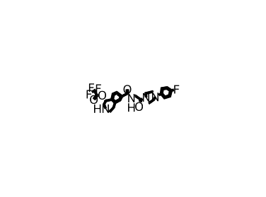 O=C(NCC(=O)N1CCN(c2ccc(F)cc2)CC1)c1ccc2c(c1)CCNCC2OC(=O)C(F)(F)F